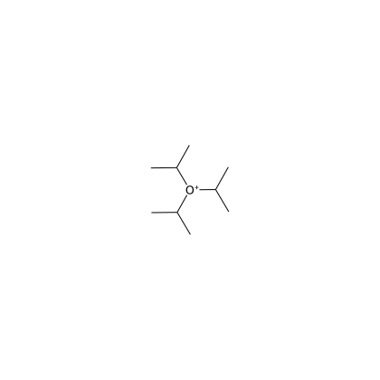 CC(C)[O+](C(C)C)C(C)C